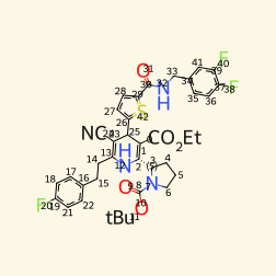 CCOC(=O)C1=C([C@@H]2CCCN2C(=O)OC(C)(C)C)NC(CCc2ccc(F)cc2)=C(C#N)C1c1ccc(C(=O)NCc2ccc(F)c(F)c2)s1